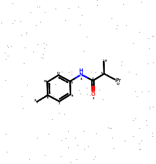 [CH2]C(C(=O)Nc1ccc(C)cc1)C(C)C